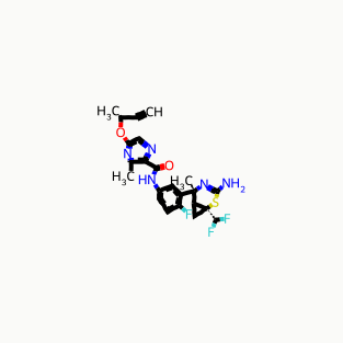 C#C[C@H](C)Oc1cnc(C(=O)Nc2ccc(F)c([C@@]3(C)N=C(N)S[C@@]4(C(F)F)CC43)c2)c(C)n1